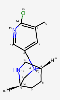 Cc1cc(N2C[C@@H]3CC[C@H]2CN3)cnc1Cl